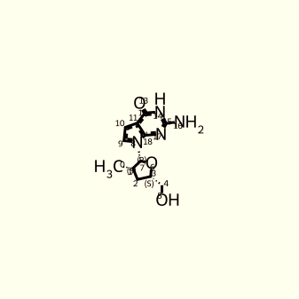 C[C@H]1C[C@@H](CO)O[C@H]1n1ccc2c(=O)[nH]c(N)nc21